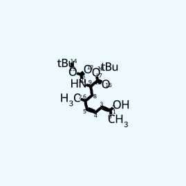 C/C(O)=C\C=C/C(C)CC(NC(=O)OC(C)(C)C)C(=O)OC(C)(C)C